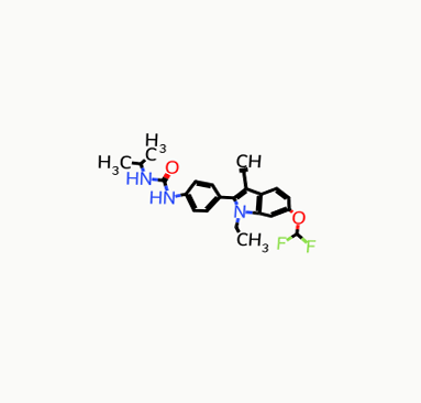 C#Cc1c(-c2ccc(NC(=O)NC(C)C)cc2)n(CC)c2cc(OC(F)F)ccc12